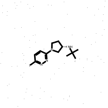 CC(C)(C)N[C@H]1CCN(c2ccc(I)nn2)C1